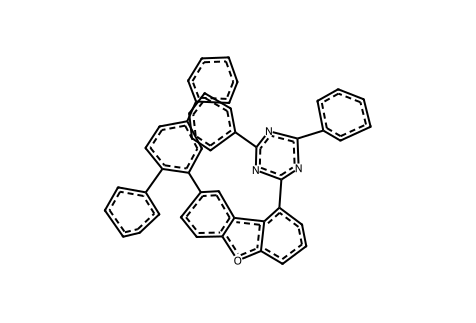 c1ccc(-c2ccc(-c3ccccc3)c(-c3ccc4oc5cccc(-c6nc(-c7ccccc7)nc(-c7ccccc7)n6)c5c4c3)c2)cc1